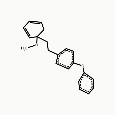 COC1(CCc2ccc(Oc3ccccc3)cc2)[CH]C=CC=C1